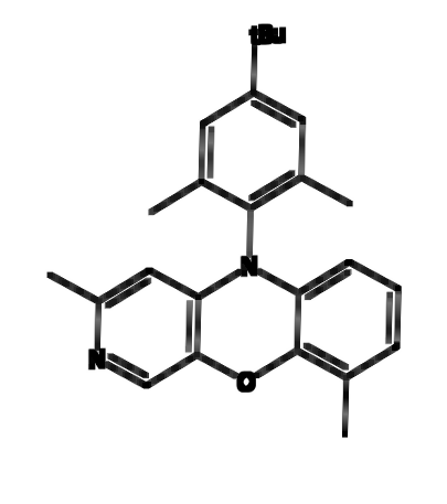 Cc1cc2c(cn1)Oc1c(C)cccc1N2c1c(C)cc(C(C)(C)C)cc1C